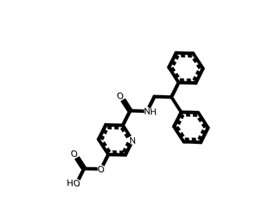 O=C(O)Oc1ccc(C(=O)NCC(c2ccccc2)c2ccccc2)nc1